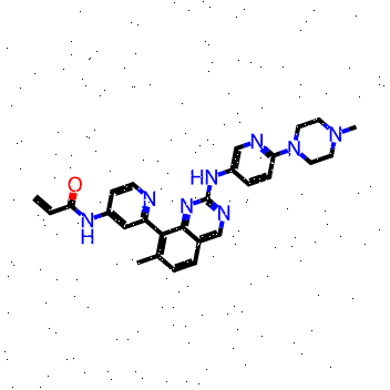 C=CC(=O)Nc1ccnc(-c2c(C)ccc3cnc(Nc4ccc(N5CCN(C)CC5)nc4)nc23)c1